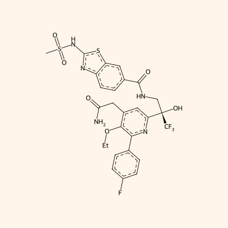 CCOc1c(CC(N)=O)cc([C@@](O)(CNC(=O)c2ccc3nc(NS(C)(=O)=O)sc3c2)C(F)(F)F)nc1-c1ccc(F)cc1